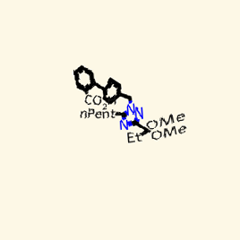 CCCCCc1nc(C(CC)(OC)OC)nn1Cc1ccc(-c2ccccc2C(=O)O)cc1